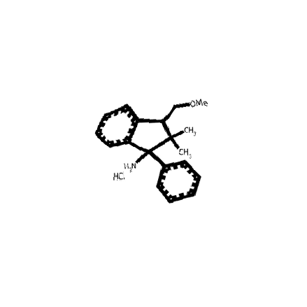 COCC1c2ccccc2C(N)(c2ccccc2)C1(C)C.Cl